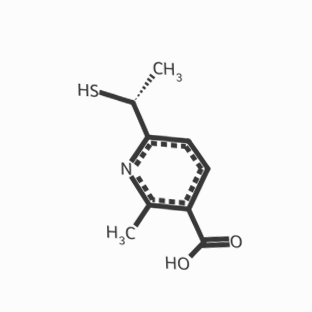 Cc1nc([C@@H](C)S)ccc1C(=O)O